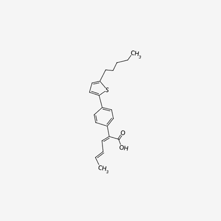 CC=CC=C(C(=O)O)c1ccc(-c2ccc(CCCCC)s2)cc1